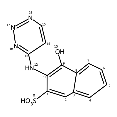 O=S(=O)(O)c1cc2ccccc2c(O)c1Nc1ccnnn1